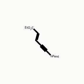 CCCCCC#CC=CC(=O)OCC